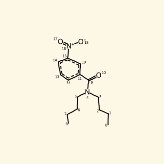 CCCCN(CCCC)C(=O)c1cccc([N+](=O)[O-])c1